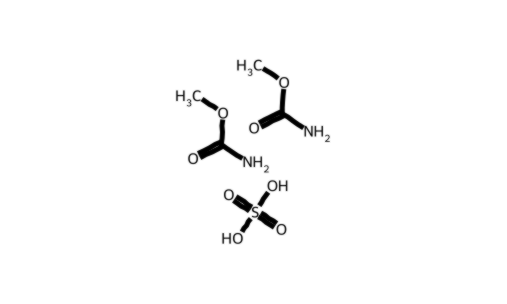 COC(N)=O.COC(N)=O.O=S(=O)(O)O